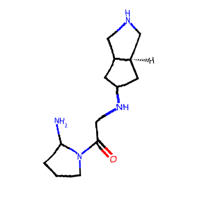 NC1CCCN1C(=O)CNC1CC2CNC[C@H]2C1